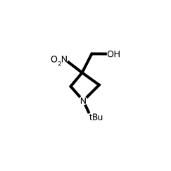 CC(C)(C)N1CC(CO)([N+](=O)[O-])C1